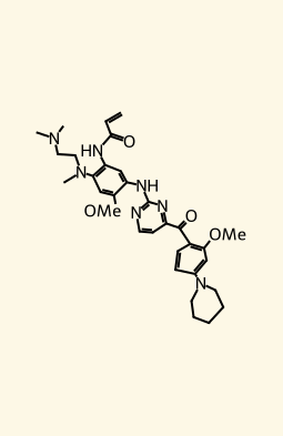 C=CC(=O)Nc1cc(Nc2nccc(C(=O)c3ccc(N4CCCCC4)cc3OC)n2)c(OC)cc1N(C)CCN(C)C